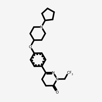 O=C1CCC(c2ccc(OC3CCN(C4CCCC4)CC3)cc2)=NN1CC(F)(F)F